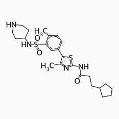 Cc1ccc(-c2sc(NC(=O)CCC3CCCC3)nc2C)cc1S(=O)(=O)NC1CCNCC1